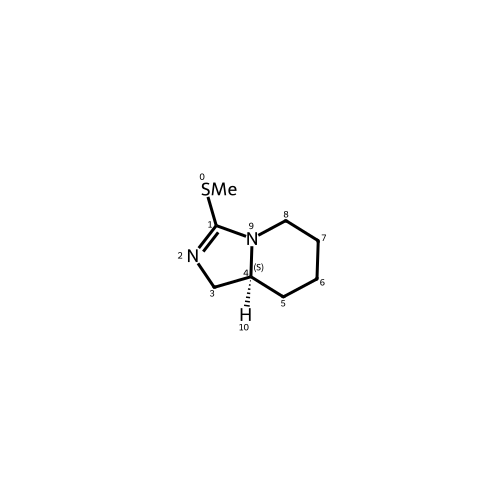 CSC1=NC[C@@H]2CCCCN12